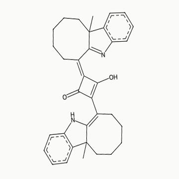 CC12CCCCC/C(=C3\C(=O)C(C4=C5\Nc6ccccc6C5(C)CCCCC\4)=C3O)C1=Nc1ccccc12